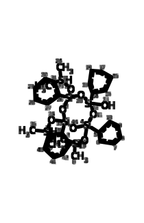 C[SiH](C)O[Si]1(c2ccccc2)O[Si](O)(c2ccccc2)O[Si](O[SiH](C)C)(c2ccccc2)O[Si](O[SiH](C)C)(c2ccccc2)O1